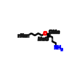 CCCCCCCCCCCCCO[Si](CCCN)(OC)OC